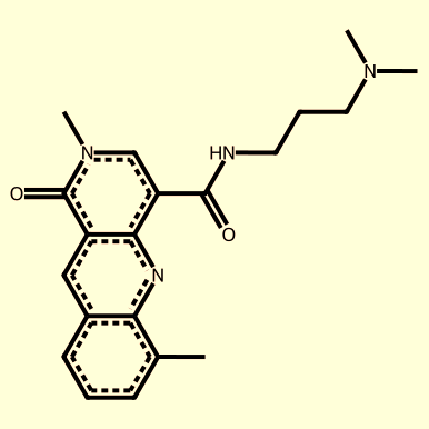 Cc1cccc2cc3c(=O)n(C)cc(C(=O)NCCCN(C)C)c3nc12